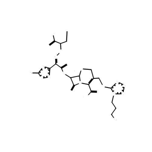 CCC(O/N=C(\C(=O)NC1C(=O)N2C(C(=O)O)=C(CSc3nnnn3CCCN)CS[C@H]12)c1nsc(N)n1)C(=O)O